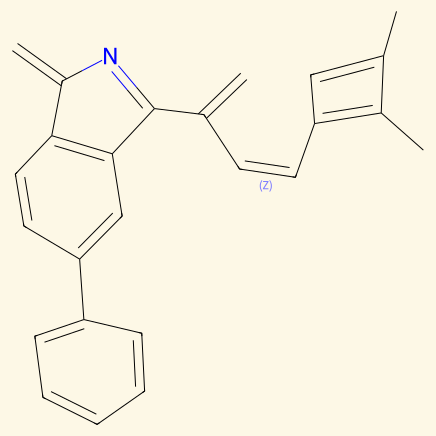 C=C(/C=C\C1=C(C)C(C)=C1)C1=NC(=C)c2ccc(-c3ccccc3)cc21